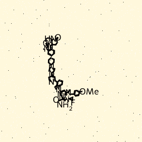 COc1ccc(CN(C)c2cc(N3CCc4c(-c5cc(N6CCN([C@H]7CC[C@H](c8ccc9c(c8)n(C)c(=O)n9C8CCC(=O)NC8=O)CC7)CC6)ccn5)cccc43)n[n+]3c(C(N)=O)cn([C@@H]4C[C@@H]4F)c23)cc1